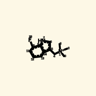 C[N+](C)(C)Cc1c[nH]c2c(F)cccc12